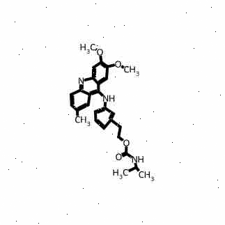 COc1cc2nc3ccc(C)cc3c(Nc3cccc(CCOC(=O)NC(C)C)c3)c2cc1OC